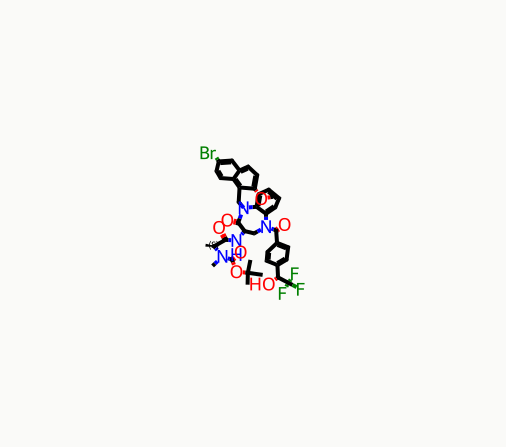 COc1ccc2cc(Br)ccc2c1CN1C(=O)C(NC(=O)[C@H](C)N(C)C(=O)OC(C)(C)C)CN(C(=O)c2ccc(C(O)C(F)(F)F)cc2)c2ccccc21